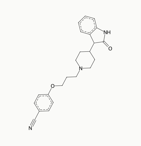 N#Cc1ccc(OCCCN2CCC(C3C(=O)Nc4ccccc43)CC2)cc1